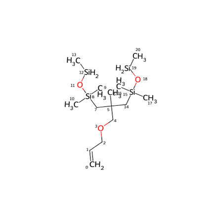 C=CCOCC(C)(C[Si](C)(C)O[SiH2]C)C[Si](C)(C)O[SiH2]C